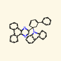 C1=CC(c2cnc3c4ccccc4c4ccccc4c3n2)(n2c3ccccc3c3ccccc32)CC(c2ccccc2)=C1